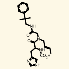 CC=CCN(CC(=O)NCC(C)(C)c1ccccc1)C(=O)C(Cc1c[nH]cn1)NC(=O)O